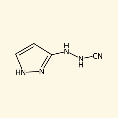 N#CNNc1cc[nH]n1